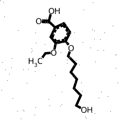 CCOc1cc(C(=O)O)ccc1OCCCCCCCO